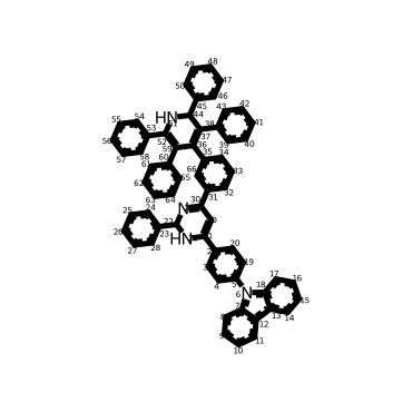 C1=C(c2ccc(-n3c4ccccc4c4ccccc43)cc2)NC(c2ccccc2)N=C1c1cccc(C2=C(c3ccccc3)C(c3ccccc3)NC(c3ccccc3)=C2c2ccccc2)c1